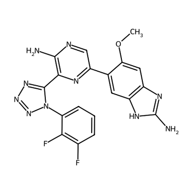 COc1cc2nc(N)[nH]c2cc1-c1cnc(N)c(-c2nnnn2-c2cccc(F)c2F)n1